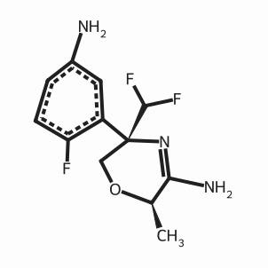 C[C@H]1OC[C@@](c2cc(N)ccc2F)(C(F)F)N=C1N